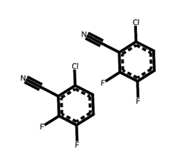 N#Cc1c(Cl)ccc(F)c1F.N#Cc1c(Cl)ccc(F)c1F